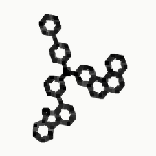 c1ccc(-c2ccc(N(c3cccc(-c4cccc5c4oc4ccccc45)c3)c3ccc4c(ccc5ccc6ccccc6c54)c3)cc2)cc1